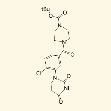 CC(C)(C)OC(=O)N1CCN(C(=O)c2ccc(Cl)c(N3CCC(=O)NC3=O)c2)CC1